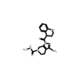 CNC(=O)N1CCc2c(N)nn(C(=O)C3CCNc4ccccc43)c2C1